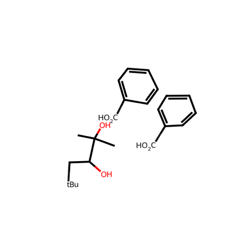 CC(C)(C)CC(O)C(C)(C)O.O=C(O)c1ccccc1.O=C(O)c1ccccc1